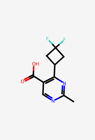 Cc1ncc(C(=O)O)c(C2CC(F)(F)C2)n1